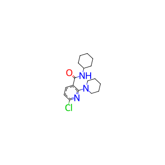 O=C(NC1CCCCC1)c1ccc(Cl)nc1N1CCCCC1